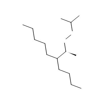 CCCCCC(CCCC)[C@H](C)SSC(C)C